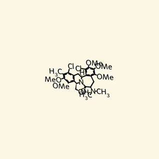 COc1c(C)c(Cl)c2c(c1OC)[C@H](CO)N1C(=O)C(N(C)C)Cc3c(OC)c(OC)c(OC)c(Cl)c3[C@@H]1C2